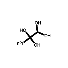 CCCC(O)(O)[C](O)O